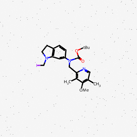 COc1c(C)cnc(CN(C(=O)OC(C)(C)C)c2ccc3c(c2)N(CI)CC3)c1C